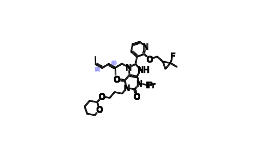 C/C=C\C=C(/C)CN1c2c(n(C(C)C)c(=O)n(CCCOC3CCCCO3)c2=O)NC1c1cccnc1OCC1CC1(C)F